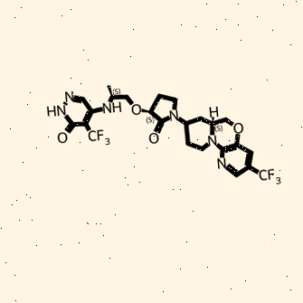 C[C@@H](CO[C@H]1CCN(C2CCN3c4ncc(C(F)(F)F)cc4OC[C@@H]3C2)C1=O)Nc1cn[nH]c(=O)c1C(F)(F)F